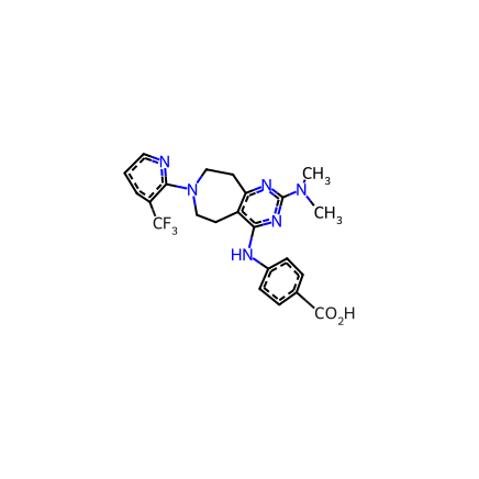 CN(C)c1nc2c(c(Nc3ccc(C(=O)O)cc3)n1)CCN(c1ncccc1C(F)(F)F)CC2